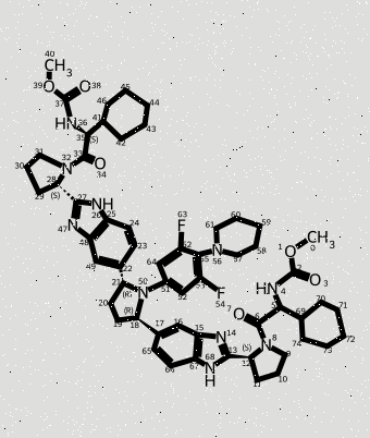 COC(=O)NC(C(=O)N1CCC[C@H]1c1nc2cc([C@H]3CC[C@H](c4ccc5[nH]c([C@@H]6CCCN6C(=O)[C@@H](NC(=O)OC)C6CCCCC6)nc5c4)N3c3cc(F)c(N4CCCCC4)c(F)c3)ccc2[nH]1)C1CCCCC1